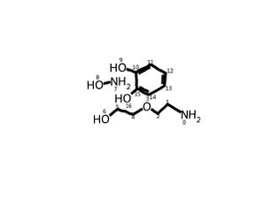 NCCOCCO.NO.Oc1ccccc1O